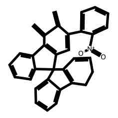 C=c1c(-c2ccccc2[N+](=O)[O-])cc2c(c1=C)-c1ccccc1C21C2=C(CCC=C2)c2ccccc21